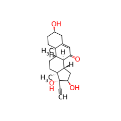 C#C[C@]1(O)[C@H](O)C[C@H]2[C@@H]3C(=O)C=C4C[C@H](O)CC[C@]4(C)[C@H]3CC[C@@]21C